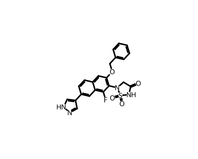 O=C1CN(c2c(OCc3ccccc3)cc3ccc(-c4cn[nH]c4)cc3c2F)S(=O)(=O)N1